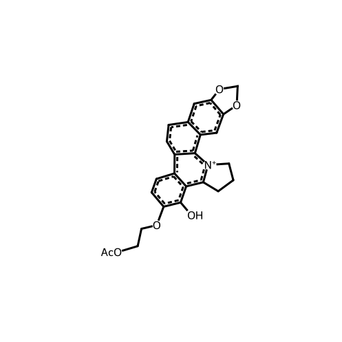 CC(=O)OCCOc1ccc2c(c1O)c1[n+](c3c4cc5c(cc4ccc23)OCO5)CCC1